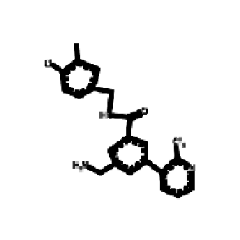 Cc1cc(CNC(=O)c2cc(CN)cc(-c3cccnc3C(F)(F)F)c2)ccc1Cl